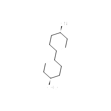 N#C[C@H]1CC[C@H]([C@H]2CC[C@H](C=O)CC2)CC1